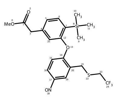 COC(=O)Cc1ccc([Si](C)(C)C)c(Oc2ccc(N=O)cc2CSCC(F)(F)F)c1